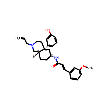 C=CCN1CC[C@@]2(c3cccc(O)c3)C[C@H](NC(=O)C=Cc3cccc(OC)c3)CC[C@@H]2C1